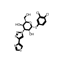 OC[C@H]1O[C@H](Sc2ccc(Cl)c(Cl)c2)[C@H](O)[C@@H](n2cc(-c3cscn3)nn2)[C@H]1O